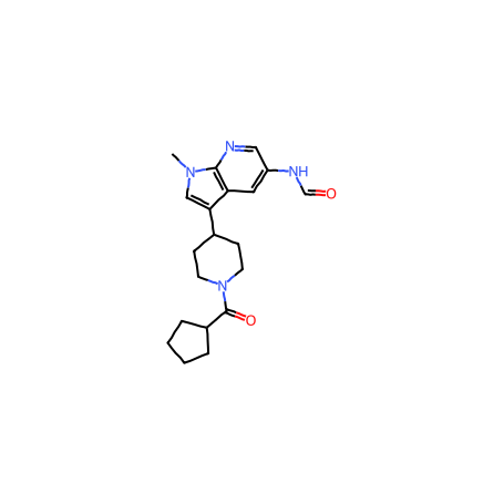 Cn1cc(C2CCN(C(=O)C3CCCC3)CC2)c2cc(NC=O)cnc21